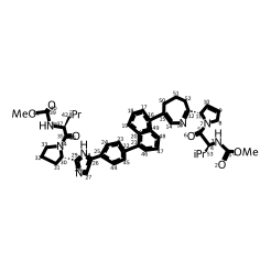 COC(=O)N[C@H](C(=O)N1CC=C[C@H]1C1=NC=C(c2cccc3c(-c4ccc(-c5cnc([C@@H]6CCCN6C(=O)[C@@H](NC(=O)OC)C(C)C)[nH]5)cc4)cccc23)CCC1)C(C)C